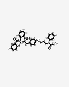 CC(C)C(=O)N(CCCOc1ccc(CC(Nc2ccccc2OC(=O)c2ccccc2)C(=O)O)cc1)c1ccccc1